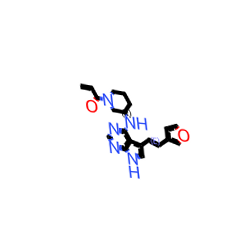 C=CC(=O)N1CCC[C@@H](Nc2ncnc3[nH]cc(/C=C/c4ccoc4)c23)C1